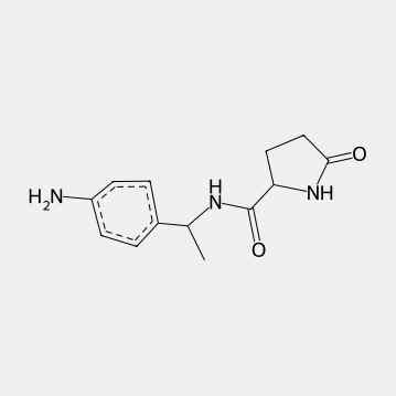 CC(NC(=O)C1CCC(=O)N1)c1ccc(N)cc1